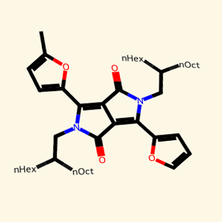 CCCCCCCCC(CCCCCC)CN1C(=O)C2=C(c3ccc(C)o3)N(CC(CCCCCC)CCCCCCCC)C(=O)C2=C1c1ccco1